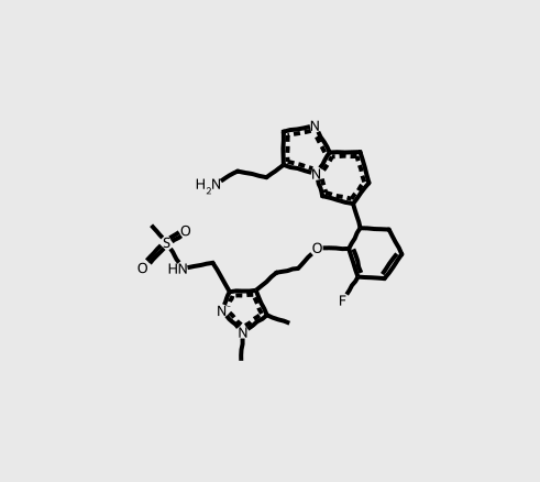 Cc1c(CCOC2=C(F)C=CCC2c2ccc3ncc(CCN)n3c2)c(CNS(C)(=O)=O)nn1C